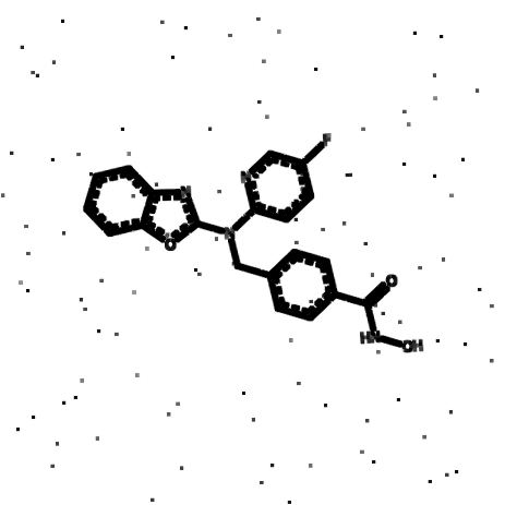 O=C(NO)c1ccc(CN(c2ccc(F)cn2)c2nc3ccccc3o2)cc1